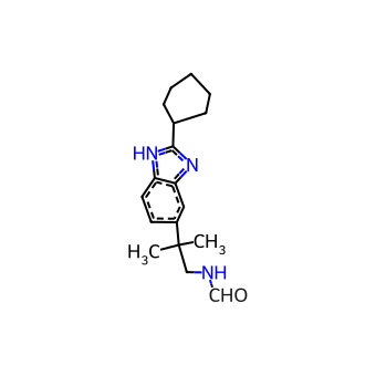 CC(C)(CNC=O)c1ccc2[nH]c(C3CCCCC3)nc2c1